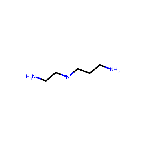 NCCC[N]CCN